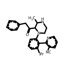 CC(C)c1cccc(N2CCNC(C)C2C(=O)Cc2ccccc2)c1-c1ncccc1C#N